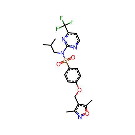 Cc1noc(C)c1COc1ccc(S(=O)(=O)N(CC(C)C)c2nccc(C(F)(F)F)n2)cc1